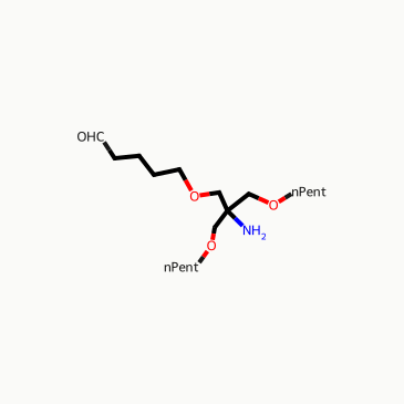 CCCCCOCC(N)(COCCCCC)COCCCCC=O